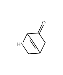 O=C1CC2C=CC1NC2